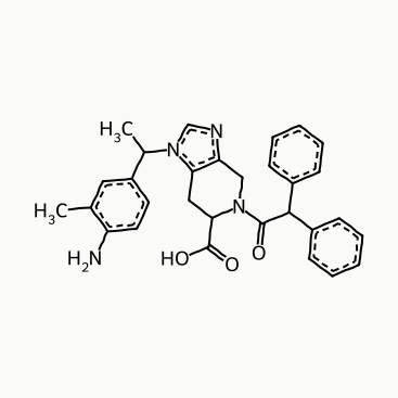 Cc1cc(C(C)n2cnc3c2CC(C(=O)O)N(C(=O)C(c2ccccc2)c2ccccc2)C3)ccc1N